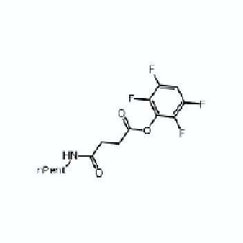 CCCCCNC(=O)CCC(=O)Oc1c(F)c(F)cc(F)c1F